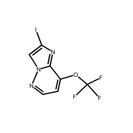 FC(F)(F)Oc1ccnn2cc(I)nc12